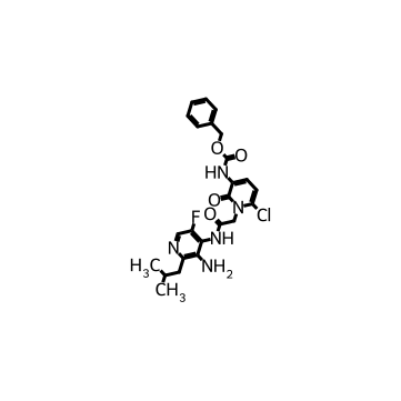 CC(C)Cc1ncc(F)c(NC(=O)Cn2c(Cl)ccc(NC(=O)OCc3ccccc3)c2=O)c1N